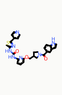 O=C(Nc1cccc(OCC2CCN(C(=O)c3ccc4[nH]ccc4c3)C2)n1)Nc1csc(-c2ccncc2)n1